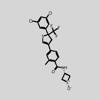 Cc1cc(C2=CSC(c3cc(Cl)cc(Cl)c3)(C(F)(F)F)C2)ccc1C(=O)N[C@H]1C[S@@+]([O-])C1